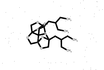 CCC(CC)CC12COC3(COC45COC(CC(CC)CC)(O4)N1C35CO)O2